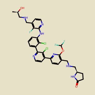 C[C@@H](O)CNCc1ccnc(Nc2cccc(-c3nccc(-c4ccc(CNC[C@H]5CCC(=O)N5)c(OC(F)F)n4)c3Cl)c2Cl)c1F